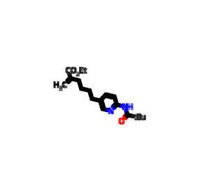 C=C(CCCCc1ccc(NC(=O)C(C)(C)C)nc1)C(=O)OCC